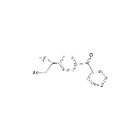 CC(=O)CC(C)c1ccc(C(=O)c2ccccc2)cc1